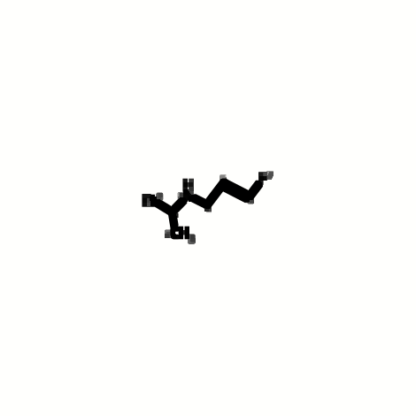 CCC(C)NCC=CF